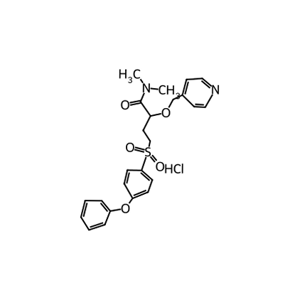 CN(C)C(=O)C(CCS(=O)(=O)c1ccc(Oc2ccccc2)cc1)OCc1ccncc1.Cl